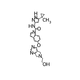 CC1(c2cc(NC(=O)n3ccc4cc(Oc5ncnc6c5CN(CCO)C6)ccc43)n[nH]2)CC1